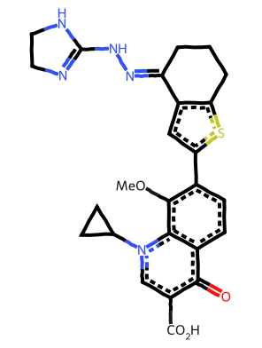 COc1c(-c2cc3c(s2)CCC/C3=N\NC2=NCCN2)ccc2c(=O)c(C(=O)O)cn(C3CC3)c12